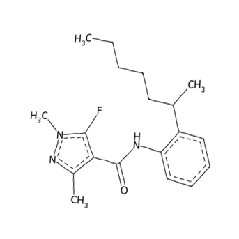 CCCCCC(C)c1ccccc1NC(=O)c1c(C)nn(C)c1F